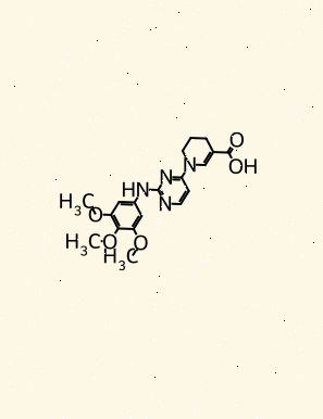 COc1cc(Nc2nccc(N3C=C(C(=O)O)CCC3)n2)cc(OC)c1OC